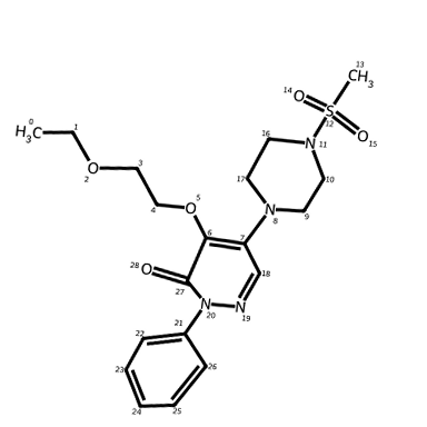 CCOCCOc1c(N2CCN(S(C)(=O)=O)CC2)cnn(-c2ccccc2)c1=O